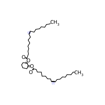 CCCCCCCC/C=C\CCCCCCCC(=O)O[C@H]1CCCC[C@@H]1OC(=O)CCCCCCC/C=C\CCCCCCCC